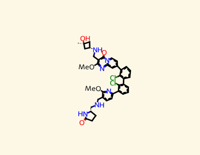 COc1nc(-c2cccc(-c3cccc(-c4ccn5c(=O)c(CN[C@H]6C[C@](C)(O)C6)c(OC)nc5c4)c3Cl)c2Cl)ccc1CNC[C@@H]1CCC(=O)N1